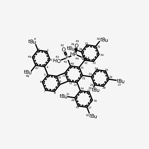 CC(C)(C)c1ccc(-c2cccc3c2-c2c-3c(-c3ccc(C(C)(C)C)cc3C(C)(C)C)c(-c3ccc(C(C)(C)C)cc3C(C)(C)C)c(-c3ccc(C(C)(C)C)cc3C(C)(C)C)c2P(=O)(O)[PH](=O)O)c(C(C)(C)C)c1